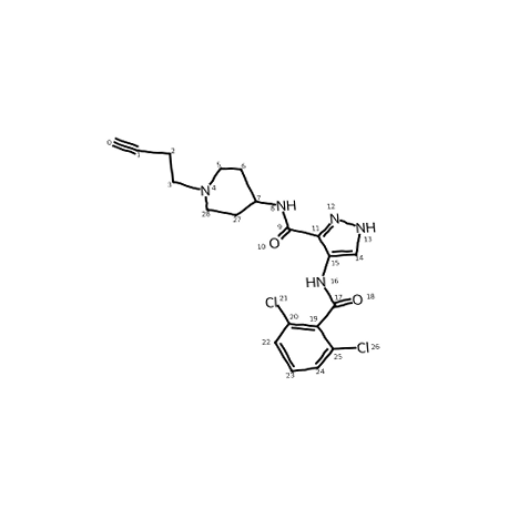 C#CCCN1CCC(NC(=O)c2n[nH]cc2NC(=O)c2c(Cl)cccc2Cl)CC1